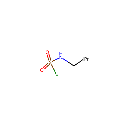 CC(C)CNS(=O)(=O)F